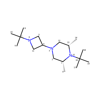 C[C@@H]1CN(C2CN(C(C)(C)C)C2)C[C@H](C)N1C(C)(C)C